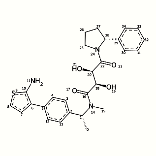 C[C@H](c1ccc(-c2ccsc2N)cc1)N(C)C(=O)[C@H](O)[C@@H](O)C(=O)N1CCC[C@@H]1c1ccccc1